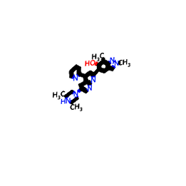 Cc1c(O)c(-c2cc(-c3ccccn3)c3cc(N4C[C@H](C)N[C@@H](C)C4)cnc3n2)cc2cn(C)nc12